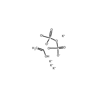 C=CO.O=P([O-])([O-])OP(=O)([O-])[O-].[K+].[K+].[K+].[K+]